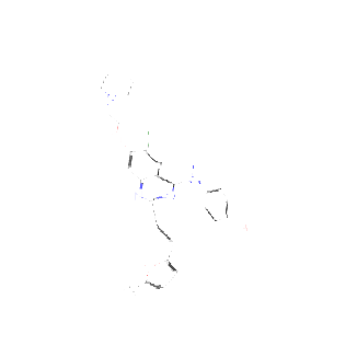 O=Nc1ccc(/C=C/c2nc(Nc3ccc(O)cc3)c3cc(F)c(OCCN4CCOCC4)cc3n2)o1